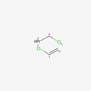 C=CCl.CCCCCl